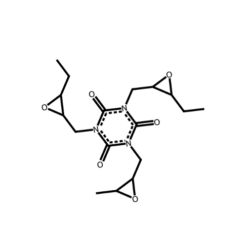 CCC1OC1Cn1c(=O)n(CC2OC2C)c(=O)n(CC2OC2CC)c1=O